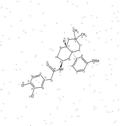 COc1cccc([C@@]23CC[N+](C)(C)C[C@H]2CC[C@H](NC(=O)Cc2ccc(Cl)c(Cl)c2)C3)c1